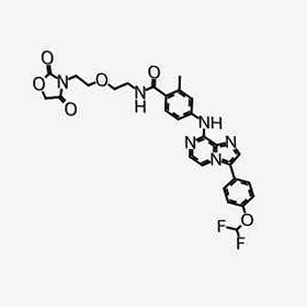 Cc1cc(Nc2nccn3c(-c4ccc(OC(F)F)cc4)cnc23)ccc1C(=O)NCCOCCN1C(=O)COC1=O